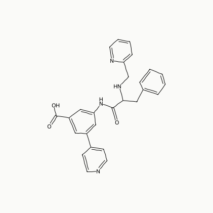 O=C(O)c1cc(NC(=O)C(Cc2ccccc2)NCc2ccccn2)cc(-c2ccncc2)c1